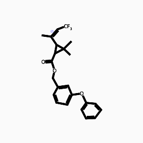 C/C(=C/C(F)(F)F)C1C(C(=O)OCc2cccc(Oc3ccccc3)c2)C1(C)C